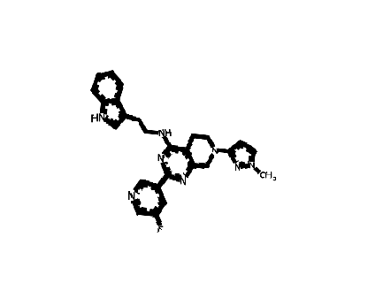 Cn1[c]cc(N2CCc3c(nc(-c4cncc(F)c4)nc3NCCc3c[nH]c4ccccc34)C2)n1